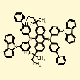 CCC(C)(C)c1ccc2c(N(c3ccc(-c4ccccc4)cc3)c3cccc(-n4c5ccccc5c5ccccc54)c3)c3ccc(C(C)(C)CC)cc3c(N(c3ccc(-c4ccccc4)cc3)c3cccc(-n4c5ccccc5c5ccccc54)c3)c2c1